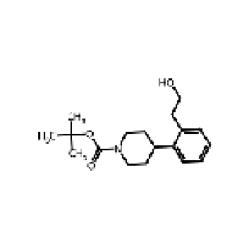 CC(C)(C)OC(=O)N1CCC(c2ccccc2CCO)CC1